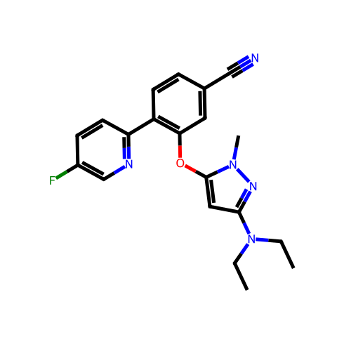 CCN(CC)c1cc(Oc2cc(C#N)ccc2-c2ccc(F)cn2)n(C)n1